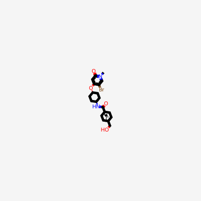 Cn1cc(Br)c(O[C@H]2CC[C@H](NC(=O)C34CCC(CO)(CC3)CC4)CC2)cc1=O